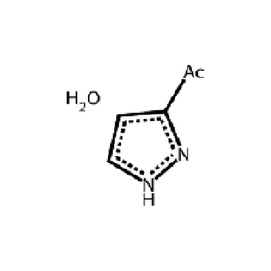 CC(=O)c1cc[nH]n1.O